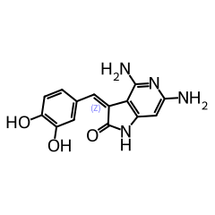 Nc1cc2c(c(N)n1)/C(=C/c1ccc(O)c(O)c1)C(=O)N2